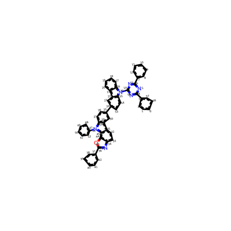 c1ccc(-c2nc(-c3ccccc3)nc(-n3c4ccccc4c4cc(-c5ccc6c(c5)c5ccc7nc(-c8ccccc8)oc7c5n6-c5ccccc5)ccc43)n2)cc1